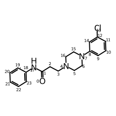 O=C(CCN1CCN(c2cccc(Cl)c2)CC1)Nc1[c]cccc1